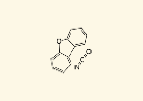 N=C=O.c1ccc2c(c1)oc1ccccc12